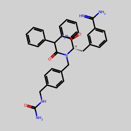 N=C(N)c1cccc(C[C@@H](C(N)=O)N(Cc2ccc(CNC(N)=O)cc2)C(=O)C(c2ccccc2)c2ccccc2)c1